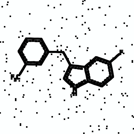 Fc1ccc2[nH]cc(Cc3cccc(C(F)(F)F)c3)c2c1